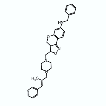 C/C(=C\c1ccccc1)CN1CCN(CC2ON=C3c4ccc(NCc5ccccc5)cc4OCC32)CC1